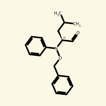 CC(C)C[C@@H]([C]=O)N(OCc1ccccc1)c1ccccc1